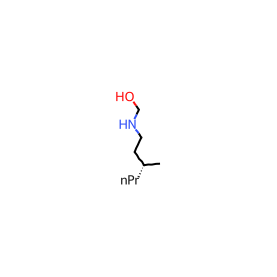 CCC[C@@H](C)CCNCO